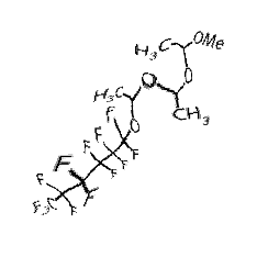 COC(C)OC(C)OC(C)OC(F)(F)C(F)(F)C(F)(F)C(F)(F)C(F)(F)C(F)(F)F